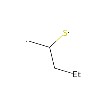 [CH2]C([S])CCC